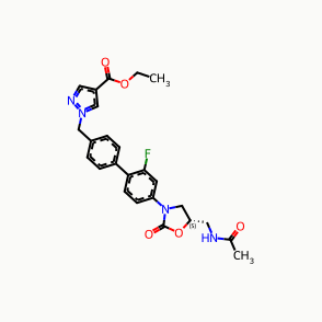 CCOC(=O)c1cnn(Cc2ccc(-c3ccc(N4C[C@H](CNC(C)=O)OC4=O)cc3F)cc2)c1